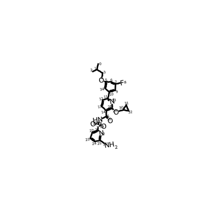 CC(C)COc1cc(F)cc(-c2ccc(C(=O)NS(=O)(=O)c3cccc(N)n3)c(OC3CC3)n2)c1